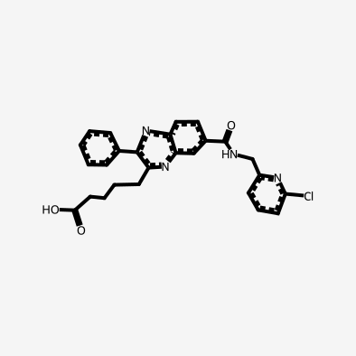 O=C(O)CCCCc1nc2cc(C(=O)NCc3cccc(Cl)n3)ccc2nc1-c1ccccc1